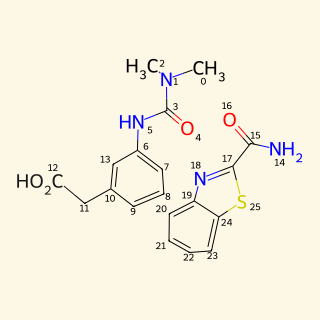 CN(C)C(=O)Nc1cccc(CC(=O)O)c1.NC(=O)c1nc2ccccc2s1